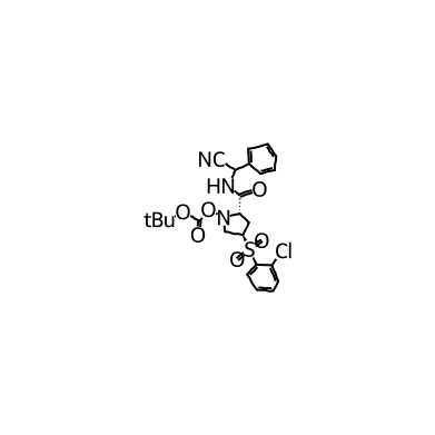 CC(C)(C)OC(=O)ON1C[C@H](S(=O)(=O)c2ccccc2Cl)C[C@H]1C(=O)NC(C#N)c1ccccc1